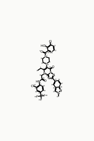 CCc1c(N2CCN(C(=O)c3nccc(Cl)c3O)CC2)c(=O)n2nc(-c3ccc4nn(C)cc4c3)nc2n1CC(=O)Nc1ccc(C(F)(F)F)cc1Cl